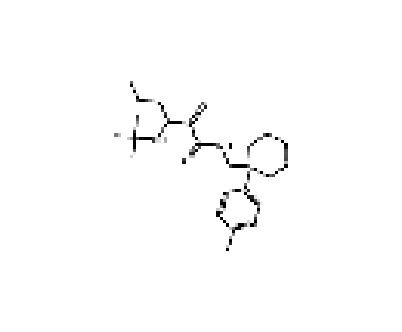 CCCC(NC(C)(C)C)C(=O)C(=O)NCC1(c2ccc(C)cc2)CCCCC1